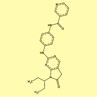 CCC(CC)N1C(=O)Cc2cnc(Nc3ccc(NC(=O)c4cccnc4)cc3)nc21